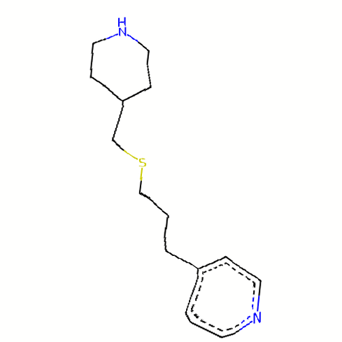 c1cc(CCCSCC2CCNCC2)ccn1